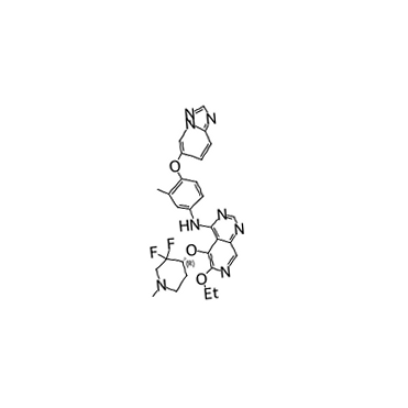 CCOc1ncc2ncnc(Nc3ccc(Oc4ccc5ncnn5c4)c(C)c3)c2c1O[C@@H]1CCN(C)CC1(F)F